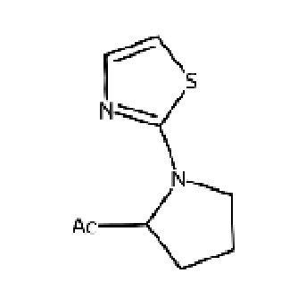 CC(=O)C1CCCN1c1nccs1